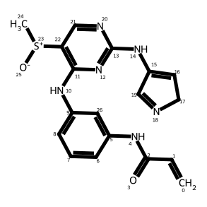 C=CC(=O)Nc1cccc(Nc2nc(NC3=CCN=C3)ncc2[S+](C)[O-])c1